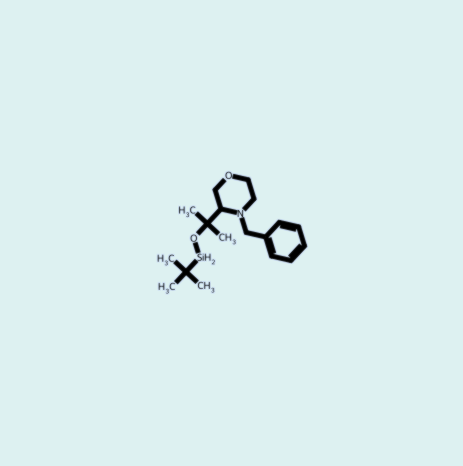 CC(C)(C)[SiH2]OC(C)(C)C1COCCN1Cc1ccccc1